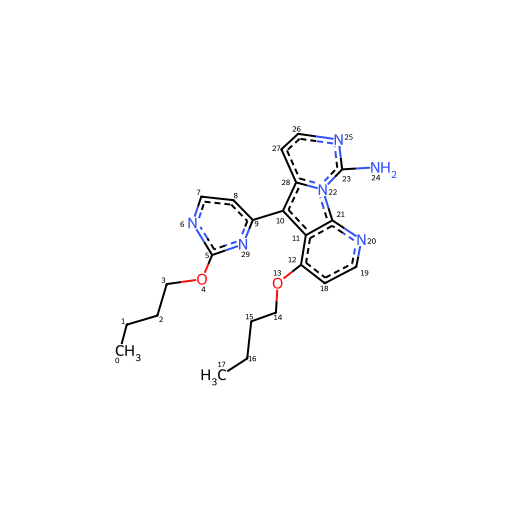 CCCCOc1nccc(-c2c3c(OCCCC)ccnc3n3c(N)nccc23)n1